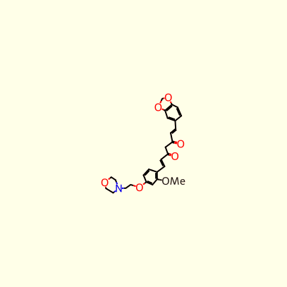 COc1cc(OCCN2CCOCC2)ccc1C=CC(=O)CC(=O)C=Cc1ccc2c(c1)OCO2